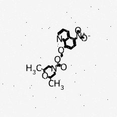 C[C@@H]1CN(C(=O)OCOc2ccc([N+](=O)[O-])c3cccnc23)C[C@H](C)O1